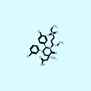 CC[C@@H](CCS(=O)(=O)CC)N1C(=O)[C@@](C)(CC(=O)O)C[C@H](c2cccc(Cl)c2)[C@H]1c1ccc(Cl)cc1